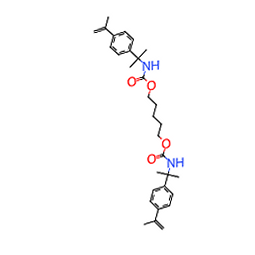 C=C(C)c1ccc(C(C)(C)NC(=O)OCCCCCOC(=O)NC(C)(C)c2ccc(C(=C)C)cc2)cc1